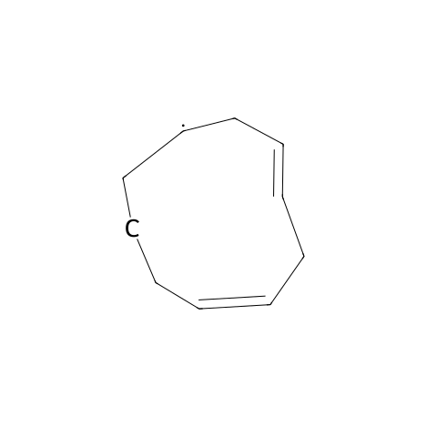 [CH]1C/C=C/C/C=C\CCC1